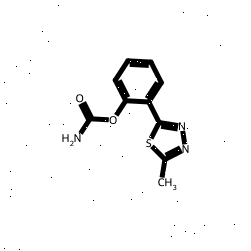 Cc1nnc(-c2ccccc2OC(N)=O)s1